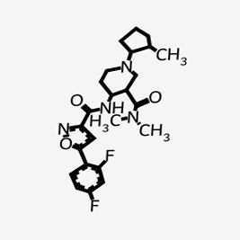 CC1CCCC1N1CCC(NC(=O)c2cc(-c3ccc(F)cc3F)on2)C(C(=O)N(C)C)C1